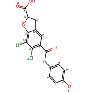 COc1ccc(CC(=O)c2cc3c(c(Cl)c2Cl)OC(C(=O)O)C3)cc1